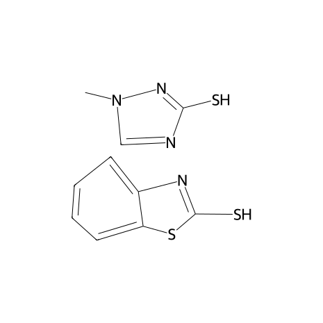 Cn1cnc(S)n1.Sc1nc2ccccc2s1